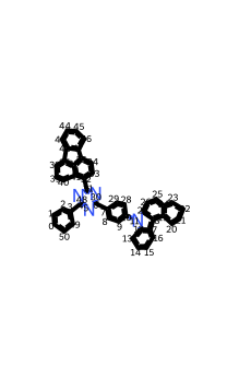 c1ccc(-c2nc(-c3ccc(-n4c5ccccc5c5c6ccccc6ccc54)cc3)nc(-c3ccc4c5c(cccc35)-c3ccccc3-4)n2)cc1